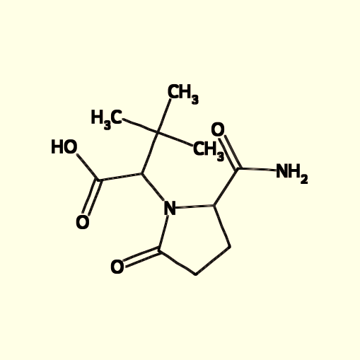 CC(C)(C)C(C(=O)O)N1C(=O)CCC1C(N)=O